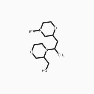 CC(C)N1CCOC(CC(C)N2CCOCC2CO)C1